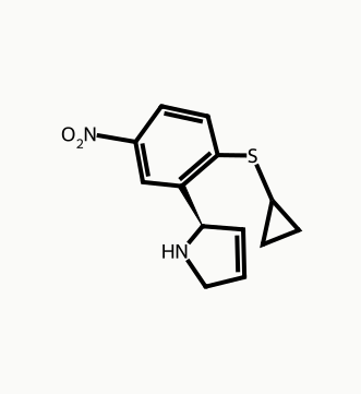 O=[N+]([O-])c1ccc(SC2CC2)c([C@H]2C=CCN2)c1